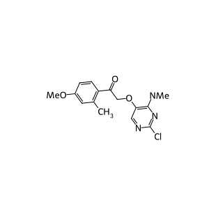 CNc1nc(Cl)ncc1OCC(=O)c1ccc(OC)cc1C